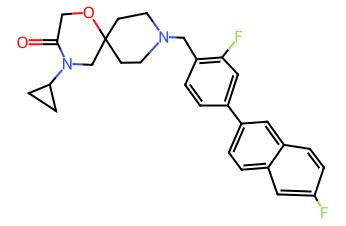 O=C1COC2(CCN(Cc3ccc(-c4ccc5cc(F)ccc5c4)cc3F)CC2)CN1C1CC1